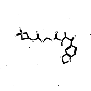 CC(C(=O)c1ccc2c(c1)OCO2)N(C)C(=O)OCOC(=O)OC1CS(=O)(=O)C1